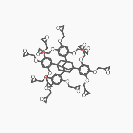 c1c(OCC2CO2)c(OCC2CO2)cc(C23CC4(c5cc(OCC6CO6)c(OCC6CO6)cc5OCC5CO5)CC(c5cc(OCC6CO6)c(OCC6CO6)cc5OCC5CO5)(C2)CC(c2cc(OCC5CO5)c(OCC5CO5)cc2OCC2CO2)(C3)C4)c1OCC1CO1